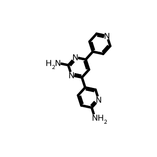 Nc1ccc(-c2cc(-c3ccncc3)nc(N)n2)cn1